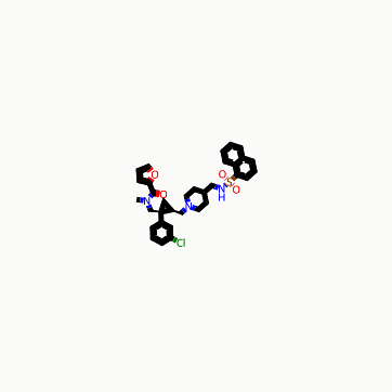 CN(C[C@@]1(c2cccc(Cl)c2)C[C@H]1CN1CCC(CNS(=O)(=O)c2cccc3ccccc23)CC1)C(=O)c1ccco1